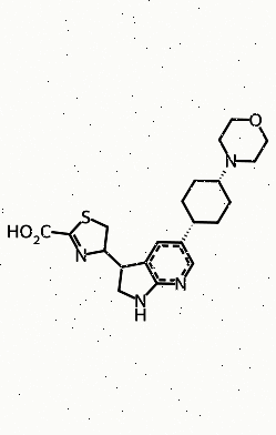 O=C(O)C1=NC(C2CNc3ncc([C@H]4CC[C@@H](N5CCOCC5)CC4)cc32)CS1